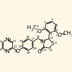 COc1cccc(OC)c1C1SCC(=O)N1Cc1ccc(Oc2cnccn2)cc1